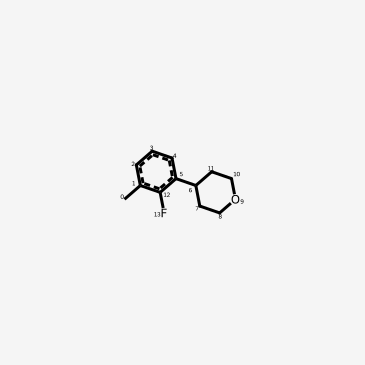 Cc1cccc(C2CCOCC2)c1F